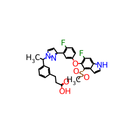 CC(c1cccc(CCC(=O)O)c1)n1ccc(-c2cc(Oc3c(F)cc4[nH]ccc4c3S(C)(=O)=O)ccc2F)n1